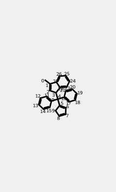 CC1=CC(C(C2=CC=CC2)(c2ccccc2)c2ccccc2)c2ccccc21